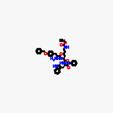 CC(C)(C)OC(=O)NCCCC[C@H](NC(=O)[C@@H](N)Cc1ccc(OCc2ccccc2)cc1)C(=O)N[C@@H](Cc1c[nH]c2ccccc12)C(=O)Nc1ccccc1